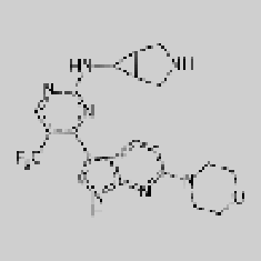 FC(F)(F)c1cnc(NC2C3CNCC32)nc1-c1c[nH]c2nc(N3CCOCC3)ccc12